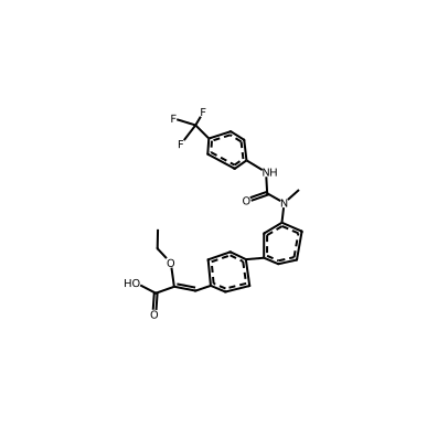 CCOC(=Cc1ccc(-c2cccc(N(C)C(=O)Nc3ccc(C(F)(F)F)cc3)c2)cc1)C(=O)O